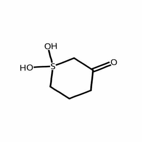 O=C1CCCS(O)(O)C1